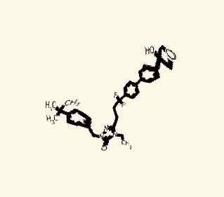 CCn1c(CCC(F)(F)c2ccc(-c3ccc(C4(O)COC4)cc3)cc2)nn(Cc2ccc(C(C)(C)C)cc2)c1=O